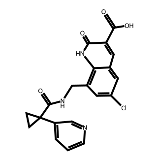 O=C(O)c1cc2cc(Cl)cc(CNC(=O)C3(c4cccnc4)CC3)c2[nH]c1=O